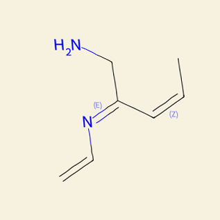 C=C/N=C(\C=C/C)CN